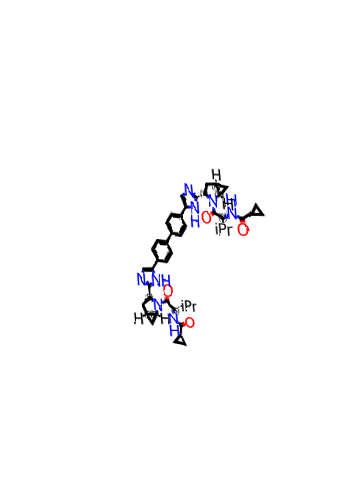 CC(C)[C@H](NC(=O)C1CC1)C(=O)N1[C@@H]2C[C@@H]2C[C@H]1c1ncc(-c2ccc(-c3ccc(-c4cnc([C@@H]5C[C@H]6C[C@H]6N5C(=O)[C@@H](NC(=O)C5CC5)C(C)C)[nH]4)cc3)cc2)[nH]1